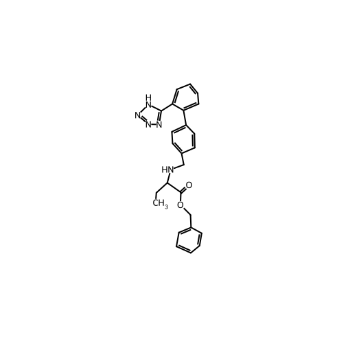 CCC(NCc1ccc(-c2ccccc2-c2nnn[nH]2)cc1)C(=O)OCc1ccccc1